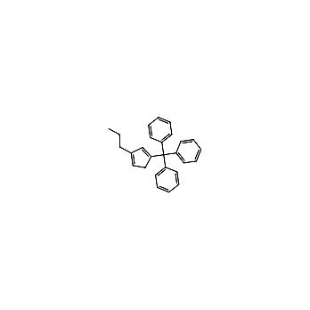 CCCC1=CCC(C(c2ccccc2)(c2ccccc2)c2ccccc2)=C1